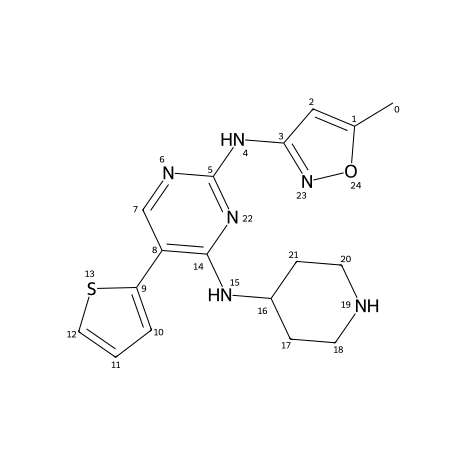 Cc1cc(Nc2ncc(-c3cccs3)c(NC3CCNCC3)n2)no1